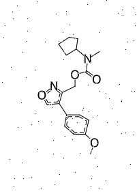 COc1ccc(-c2conc2COC(=O)N(C)C2CCCC2)cc1